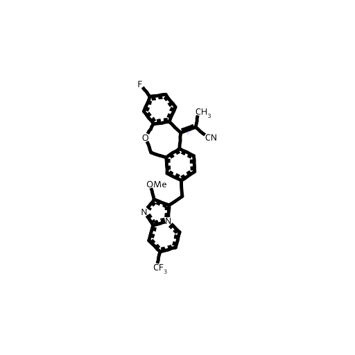 COc1nc2cc(C(F)(F)F)ccn2c1Cc1ccc2c(c1)COc1cc(F)ccc1/C2=C(\C)C#N